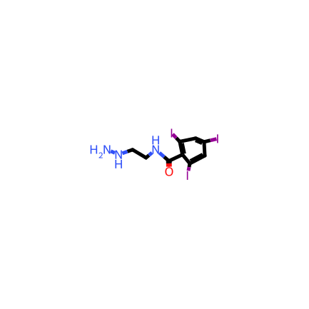 NNCCNC(=O)c1c(I)cc(I)cc1I